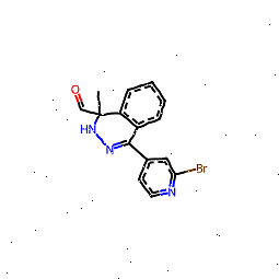 CC1(C=O)NN=C(c2ccnc(Br)c2)c2ccccc21